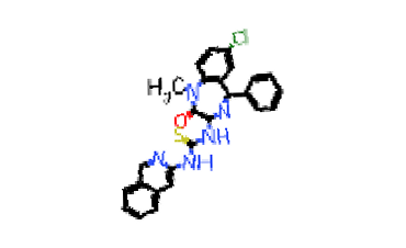 CN1C(=O)C(NC(=S)Nc2cc3ccccc3cn2)N=C(c2ccccc2)c2cc(Cl)ccc21